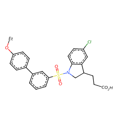 CCOc1ccc(-c2cccc(S(=O)(=O)N3CC(CCC(=O)O)c4cc(Cl)ccc43)c2)cc1